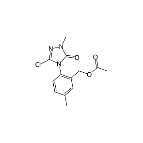 CC(=O)OCc1cc(C)ccc1-n1c(Cl)nn(C)c1=O